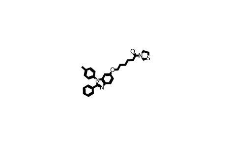 Cc1ccc(-n2c(-c3ccccc3)nc3ccc(OCCCCCC(=O)N4CCSC4)cc32)cc1